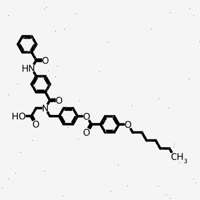 CCCCCCCOc1ccc(C(=O)Oc2ccc(CN(CC(=O)O)C(=O)c3ccc(NC(=O)c4ccccc4)cc3)cc2)cc1